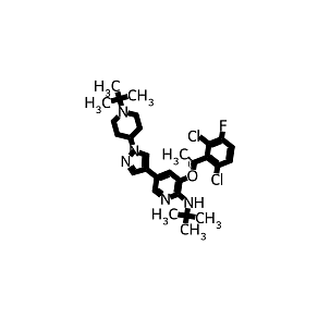 C[C@@H](Oc1cc(-c2cnn(C3CCN(C(C)(C)C)CC3)c2)cnc1NC(C)(C)C)c1c(Cl)ccc(F)c1Cl